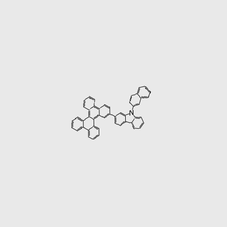 c1ccc2cc(-n3c4ccccc4c4ccc(-c5ccc6c7ccccc7c7c8ccccc8c8ccccc8c7c6c5)cc43)ccc2c1